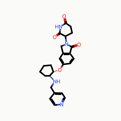 O=C1CCC(N2Cc3cc(O[C@H]4CCCC[C@@H]4NCc4ccncc4)ccc3C2=O)C(=O)N1